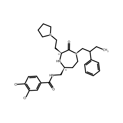 CCC(CN1CC[C@@H](CNC(=O)c2ccc(Cl)c(Cl)c2)N[C@@H](CCN2CCCC2)C1=O)c1ccccc1